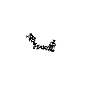 CC(C)(O)c1cc2nn([C@H]3CC[C@H](N4CCN(C(=O)C5CN(c6cc(F)c([C@H]7CCC(=O)NC7=O)c(F)c6)C5)CC4)CC3)cc2cc1NC(=O)c1cccn(C2CC2)c1=O